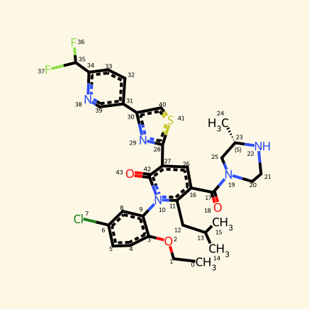 CCOc1ccc(Cl)cc1-n1c(CC(C)C)c(C(=O)N2CCN[C@@H](C)C2)cc(-c2nc(-c3ccc(C(F)F)nc3)cs2)c1=O